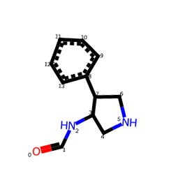 O=CNC1CNCC1c1ccccc1